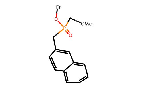 CCOP(=O)(COC)Cc1ccc2ccccc2c1